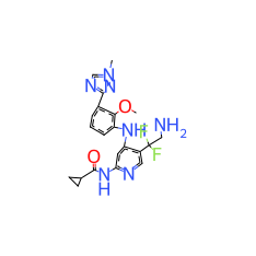 COc1c(Nc2cc(NC(=O)C3CC3)ncc2C(F)(F)CN)cccc1-c1ncn(C)n1